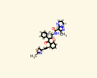 Cc1nc(C#Cc2cccc3oc(C(C)NC(=O)c4c(C)nn5cccnc45)c(-c4ccccc4)c(=O)c23)cs1